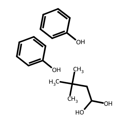 CC(C)(C)CC(O)O.Oc1ccccc1.Oc1ccccc1